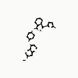 COc1cnc2c(Oc3ccc(Nc4nnc(-c5ccc(C)s5)c5ccccc45)cc3)ccnc2c1